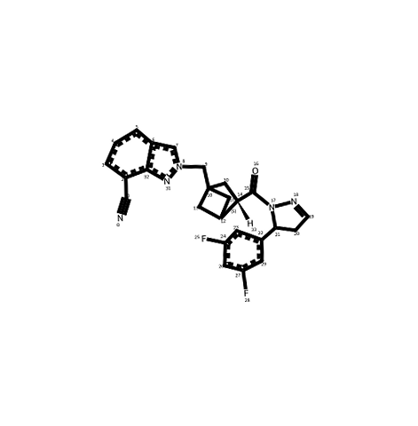 N#Cc1cccc2cn(CC34CC(C3)[C@@H](C(=O)N3N=CCC3c3cc(F)cc(F)c3)C4)nc12